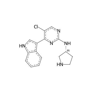 Clc1cnc(N[C@@H]2CCNC2)nc1-c1c[nH]c2ccccc12